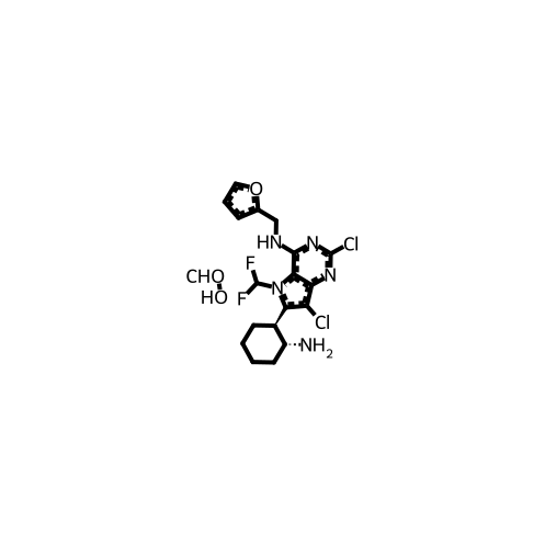 N[C@@H]1CCCC[C@H]1c1c(Cl)c2nc(Cl)nc(NCc3ccco3)c2n1C(F)F.O=CO